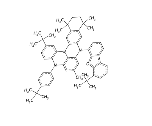 Cc1cc2c3c(c1)N(c1cccc4c1oc1c(C(C)(C)C)cccc14)c1cc4c(cc1B3c1cc(C(C)(C)C)ccc1N2c1ccc(C(C)(C)C)cc1)C(C)(C)CCC4(C)C